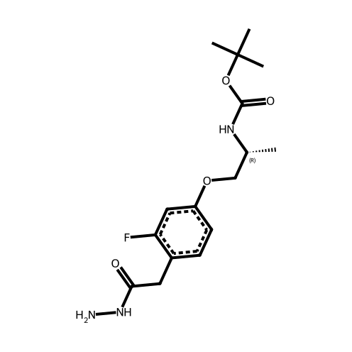 C[C@H](COc1ccc(CC(=O)NN)c(F)c1)NC(=O)OC(C)(C)C